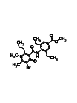 CCCc1c(C(=O)Nc2c(CC)cc(C(=O)OC)cc2CC)c(=O)c(Br)c(C)n1C